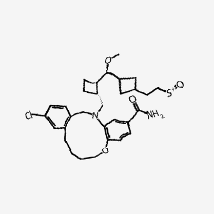 CO[C@@H](C1CC(CC[S+]=O)C1)[C@@H]1CC[C@H]1CN1Cc2ccc(Cl)cc2CCCCOc2ccc(C(N)=O)cc21